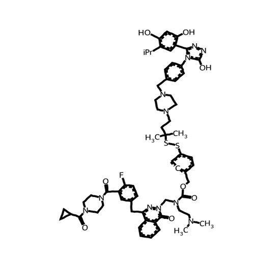 CC(C)c1cc(-c2nnc(O)n2-c2ccc(CN3CCN(CCC(C)(C)SSc4ccc(COC(=O)N(CCN(C)C)Cn5nc(Cc6ccc(F)c(C(=O)N7CCN(C(=O)C8CC8)CC7)c6)c6ccccc6c5=O)cc4)CC3)cc2)c(O)cc1O